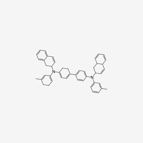 CC1=CC(N(C2=CC=C(c3ccc(N(c4cccc(C)c4)C4C=CC5C=CC=CC5C4)cc3)CC2)C2C=Cc3ccccc3C2)=CCC1